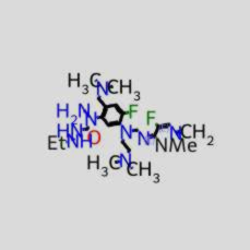 C=N/C=C(F)\C(=N/CN(CCN(C)C)c1cc(N(N)C(=O)NNCC)c(CN(C)C)cc1F)NC